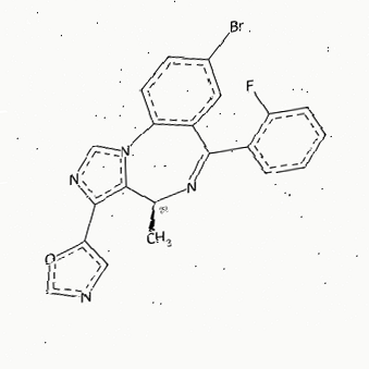 C[C@@H]1N=C(c2ccccc2F)c2cc(Br)ccc2-n2cnc(-c3cnco3)c21